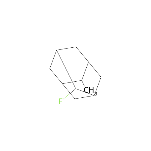 CC1C2CC3CC1CC(C2)C3F